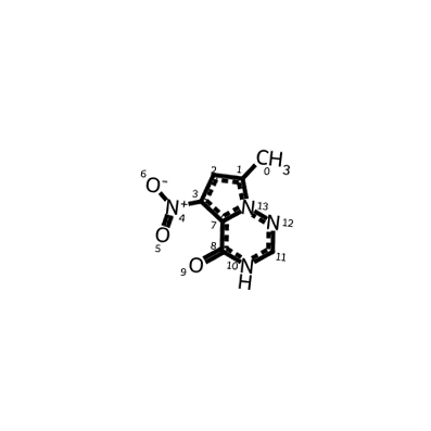 Cc1cc([N+](=O)[O-])c2c(=O)[nH]cnn12